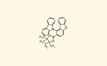 CC1(C)OB(c2ccc3oc4ccccc4c3c2-n2c3ccccc3c3ccccc32)OC1(C)C